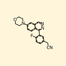 N#CCc1ccc(F)c(-c2nncc3cc(N4CCOCC4)ccc23)c1